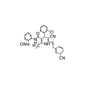 COc1ccccc1NC(=O)C1=C(C)NC(SCC2=CC(C#N)CC=C2)=C(C#N)C1c1ccccc1Cl